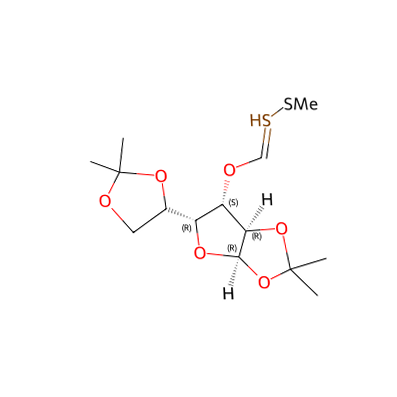 CS[SH]=CO[C@@H]1[C@H]2OC(C)(C)O[C@H]2O[C@@H]1C1COC(C)(C)O1